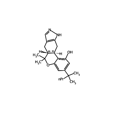 CCCC(C)(C)c1cc(O)c2c(c1)OC(C)(C)[C@@H]1Cc3cn[nH]c3C[C@@H]21